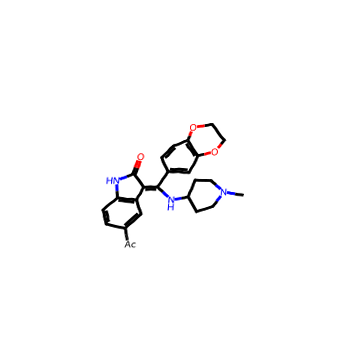 CC(=O)c1ccc2c(c1)C(=C(NC1CCN(C)CC1)c1ccc3c(c1)OCCO3)C(=O)N2